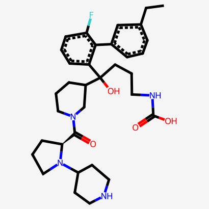 CCc1cccc(-c2c(F)cccc2C(O)(CCCNC(=O)O)C2CCCN(C(=O)[C@@H]3CCCN3C3CCNCC3)C2)c1